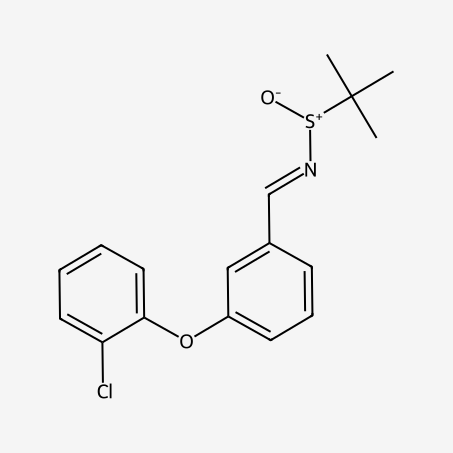 CC(C)(C)[S+]([O-])/N=C/c1cccc(Oc2ccccc2Cl)c1